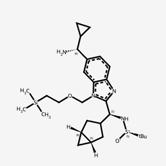 CC(C)(C)[S@@+]([O-])N[C@H](c1nc2ccc([C@H](N)C3CC3)cc2n1COCC[Si](C)(C)C)C1C[C@@H]2C[C@@H]2C1